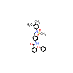 Cc1ccc(N(Cc2ccc(NC(=O)c3ccccc3Oc3ccccc3)cc2)S(C)(=O)=O)cc1C